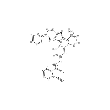 N#Cc1cccnc1C(=O)NCc1ccc(-n2c(-c3cccnc3N)nc3ccc(-c4ccccc4)nc32)cc1